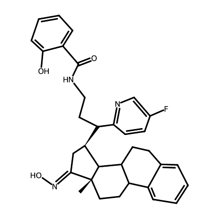 C[C@]12CCC3c4ccccc4CCC3C1[C@H](C(CCNC(=O)c1ccccc1O)c1ccc(F)cn1)C/C2=N\O